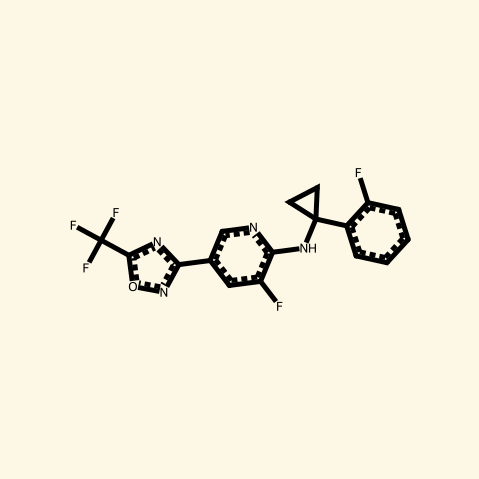 Fc1ccccc1C1(Nc2ncc(-c3noc(C(F)(F)F)n3)cc2F)CC1